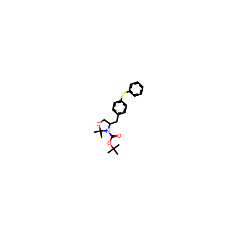 CC(C)(C)OC(=O)N1C(Cc2ccc(Sc3ccccc3)cc2)COC1(C)C